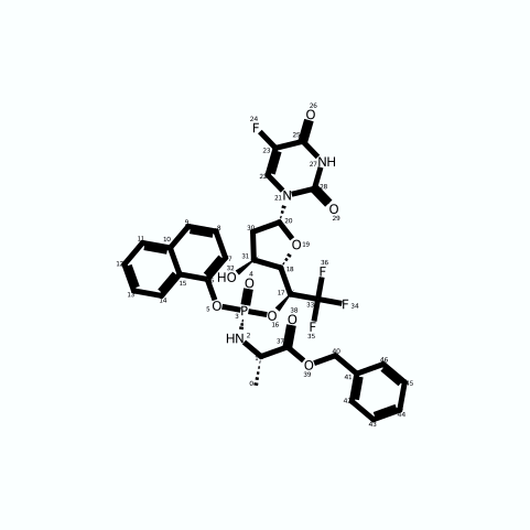 C[C@H](N[P@@](=O)(Oc1cccc2ccccc12)O[C@@H]([C@H]1O[C@@H](n2cc(F)c(=O)[nH]c2=O)C[C@@H]1O)C(F)(F)F)C(=O)OCc1ccccc1